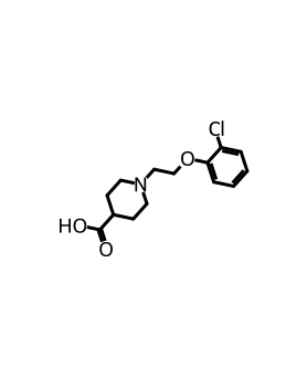 O=C(O)C1CCN(CCOc2ccccc2Cl)CC1